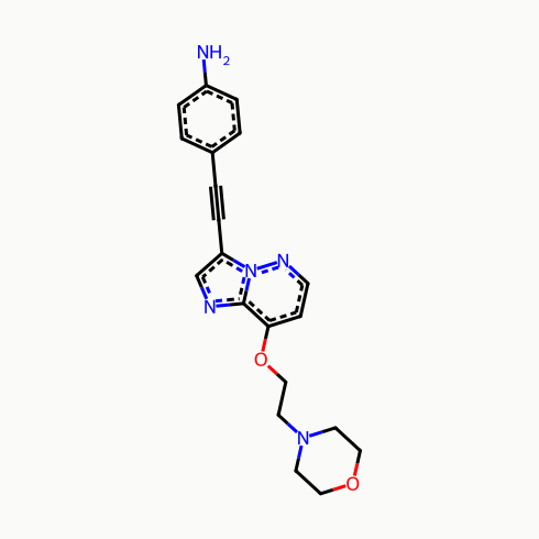 Nc1ccc(C#Cc2cnc3c(OCCN4CCOCC4)ccnn23)cc1